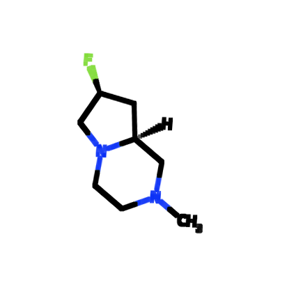 CN1CCN2C[C@@H](F)C[C@H]2C1